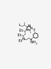 CCC(CC(CC)n1c(C)nnc1C(C)CI)N(CC)CC[C@H](N)c1cccc(F)c1